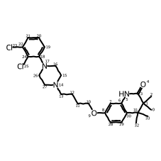 CC1(C)C(=O)Nc2cc(OCCCCN3CCN(c4cccc(Cl)c4Cl)CC3)ccc2C1(C)C